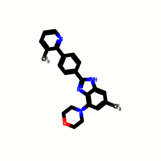 FC(F)(F)c1cc(N2CCOCC2)c2nc(-c3ccc(-c4ncccc4C(F)(F)F)cc3)[nH]c2c1